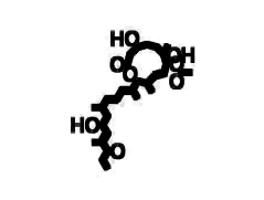 CCC(=O)/C(C)=C/C(O)CC(C)/C=C/C=C(\C)C1OC(=O)CC(O)CCC(C)(O)C(OC(C)=O)/C=C/C1C